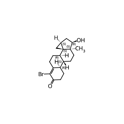 C[C@]12CC[C@H]3[C@@H](CCC4=C(Br)C(=O)CC[C@@H]43)[C@@]13C[C@H]3C[C@H]2O